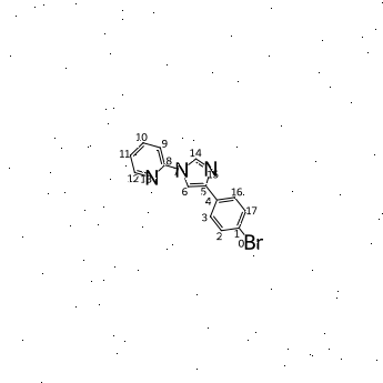 Brc1ccc(-c2cn(-c3ccccn3)cn2)cc1